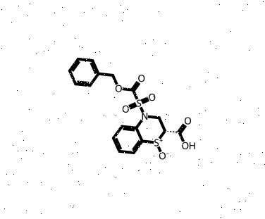 O=C(O)[C@H]1CN(S(=O)(=O)C(=O)OCc2ccccc2)c2ccccc2[S+]1[O-]